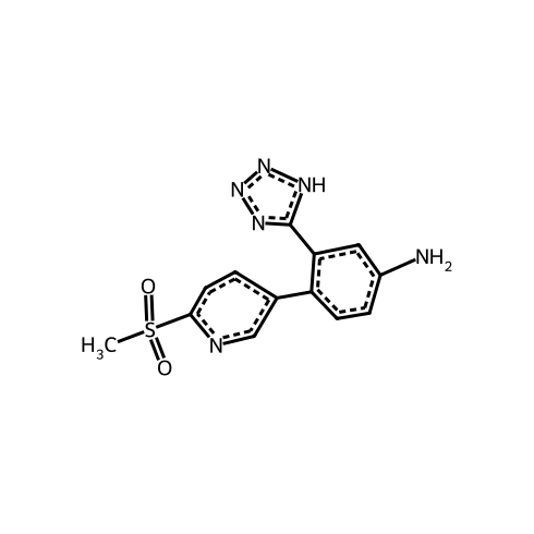 CS(=O)(=O)c1ccc(-c2ccc(N)cc2-c2nnn[nH]2)cn1